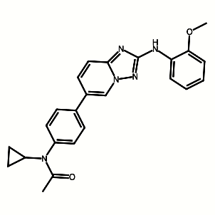 COc1ccccc1Nc1nc2ccc(-c3ccc(N(C(C)=O)C4CC4)cc3)cn2n1